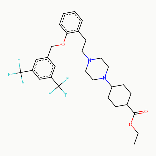 CCOC(=O)C1CCC(N2CCN(CCc3ccccc3OCc3cc(C(F)(F)F)cc(C(F)(F)F)c3)CC2)CC1